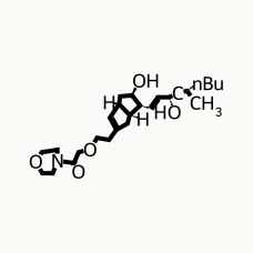 CCCC[C@H](C)C[C@H](O)/C=C/[C@@H]1[C@H]2CC(CCOCC(=O)N3CCOCC3)=C[C@H]2C[C@H]1O